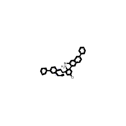 C#C/C=c1/cc(-c2ccccc2)cc/c1=C/Cc1cc(Cl)cc(-c2cc3ccc(-c4ccccc4)cc3cc2Br)c1N